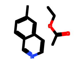 CCOC(C)=O.Cc1ccc2cnccc2c1